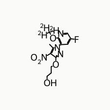 [2H]C([2H])([2H])Oc1ncc(F)cc1-n1nc(OCCCO)c([N+](=O)[O-])c1C